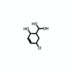 OC(O)C1CC(Cl)C=CC1O